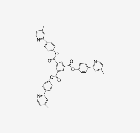 Cc1ccnc(-c2ccc(OC(=O)c3cc(C(=O)Oc4ccc(-c5cc(C)ccn5)cc4)cc(C(=O)Oc4ccc(-c5cc(C)ccn5)cc4)c3)cc2)c1